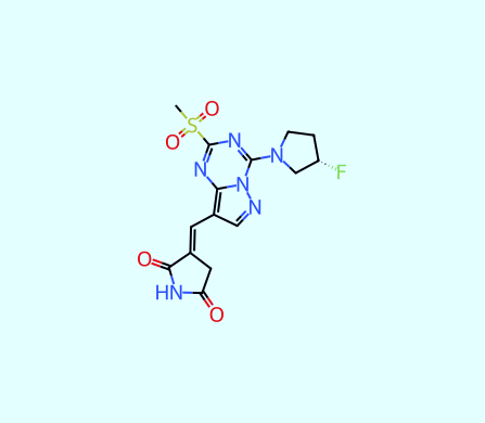 CS(=O)(=O)c1nc(N2CC[C@H](F)C2)n2ncc(C=C3CC(=O)NC3=O)c2n1